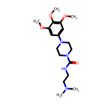 COc1cc(N2CCN(C(=O)NCCN(C)C)CC2)cc(OC)c1OC